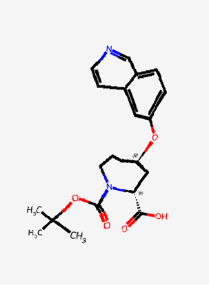 CC(C)(C)OC(=O)N1CC[C@@H](Oc2ccc3cnccc3c2)C[C@@H]1C(=O)O